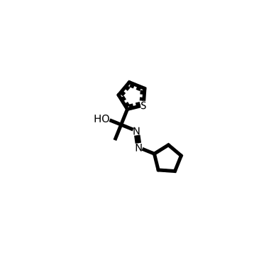 CC(O)(/N=N/C1CCCC1)c1cccs1